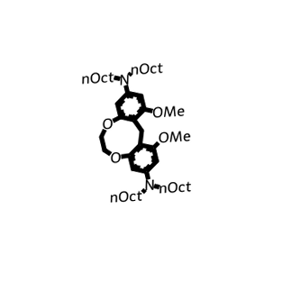 CCCCCCCCN(CCCCCCCC)c1cc(OC)c2c(c1)OCCOc1cc(N(CCCCCCCC)CCCCCCCC)cc(OC)c1C2